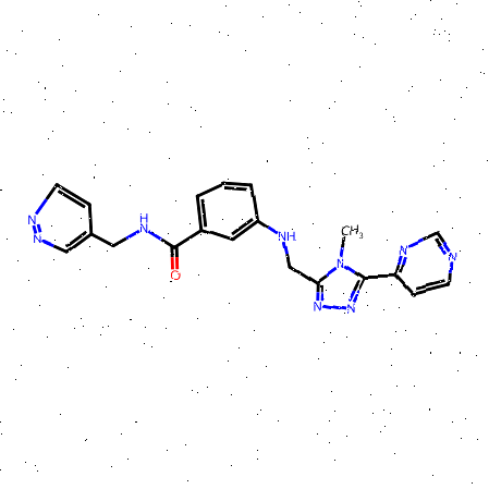 Cn1c(CNc2cccc(C(=O)NCc3ccnnc3)c2)nnc1-c1ccncn1